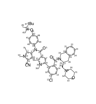 Cc1c(N(C(=O)c2cc(-c3cc(Cl)ccc3C(=O)N3Cc4ccccc4C[C@H]3CN3CCOCC3)n(C)c2C)c2ccc(O[Si](C)(C)C(C)(C)C)cc2)cc(C#N)n1C